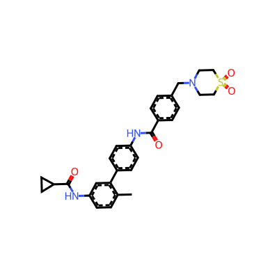 Cc1ccc(NC(=O)C2CC2)cc1-c1ccc(NC(=O)c2ccc(CN3CCS(=O)(=O)CC3)cc2)cc1